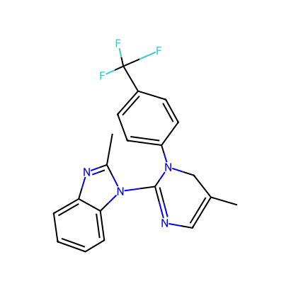 CC1=CN=C(n2c(C)nc3ccccc32)N(c2ccc(C(F)(F)F)cc2)C1